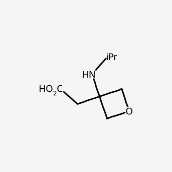 CC(C)NC1(CC(=O)O)COC1